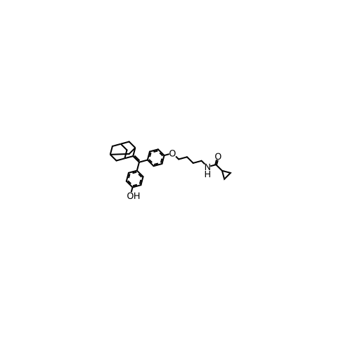 O=C(NCCCCOc1ccc(C(=C2C3CC4CC(C3)CC2C4)c2ccc(O)cc2)cc1)C1CC1